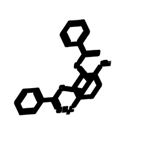 CC12CCC(C(C)(C)C)(CC1)C(OC(=O)c1ccccc1)C2OC(=O)c1ccccc1